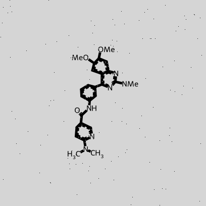 CNc1nc(-c2cccc(NC(=O)c3ccc(N(C)C)nc3)c2)c2cc(OC)c(OC)cc2n1